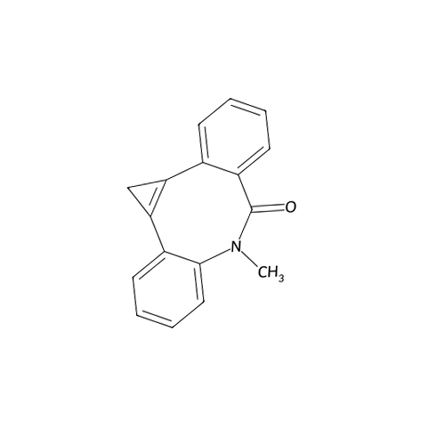 CN1C(=O)c2ccccc2C2=C(C2)c2ccccc21